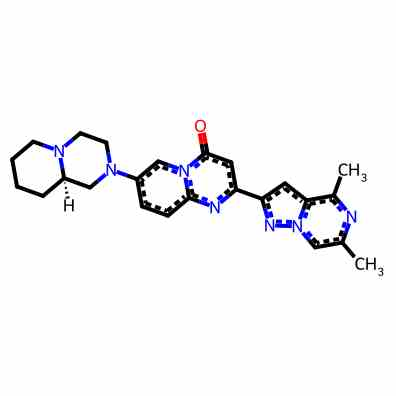 Cc1cn2nc(-c3cc(=O)n4cc(N5CCN6CCCC[C@@H]6C5)ccc4n3)cc2c(C)n1